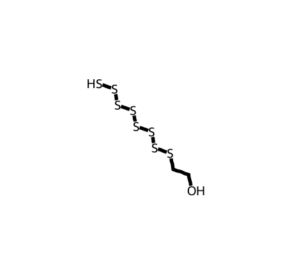 OCCSSSSSSSS